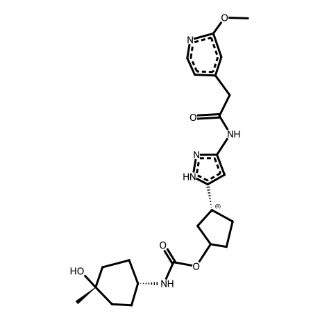 COc1cc(CC(=O)Nc2cc([C@@H]3CCC(OC(=O)N[C@H]4CC[C@@](C)(O)CC4)C3)[nH]n2)ccn1